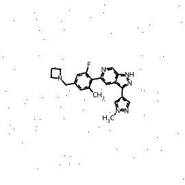 Cc1cc(CN2CCC2)cc(F)c1-c1cc2c(-c3cnn(C)c3)n[nH]c2cn1